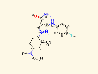 CCN(C(=O)O)C1CCC(n2cc(C(N)=O)c(Nc3ccc(F)cc3)n2)C(C#N)C1